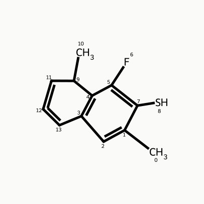 Cc1cc2c(c(F)c1S)C(C)C=C=C2